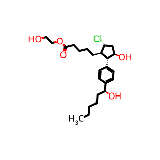 CCCCC[C@H](O)c1ccc([C@@H]2[C@@H](CCCCC(=O)OCCO)[C@H](Cl)C[C@H]2O)cc1